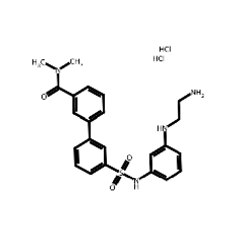 CN(C)C(=O)c1cccc(-c2cccc(S(=O)(=O)Nc3cccc(NCCN)c3)c2)c1.Cl.Cl